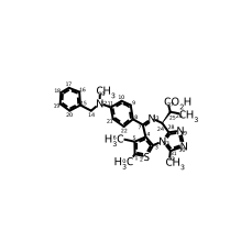 Cc1sc2c(c1C)C(c1ccc(N(C)Cc3ccccc3)cc1)=N[C@@H](C(C)C(=O)O)c1nnc(C)n1-2